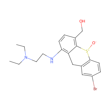 CCN(CC)CCNc1ccc(CO)c2c1Cc1cc(Br)ccc1[S+]2[O-]